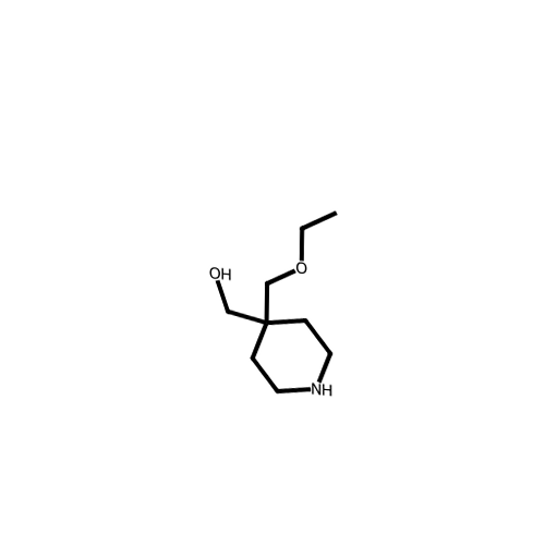 CCOCC1(CO)CCNCC1